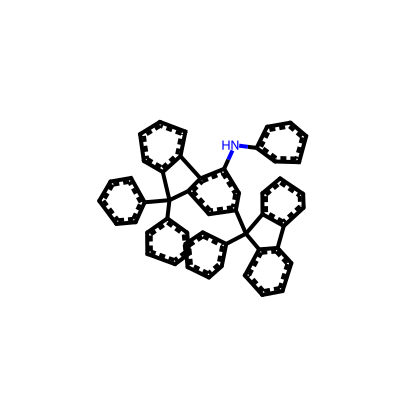 c1ccc(Nc2cc(C3(c4ccccc4)c4ccccc4-c4ccccc43)cc3c2-c2ccccc2C3(c2ccccc2)c2ccccc2)cc1